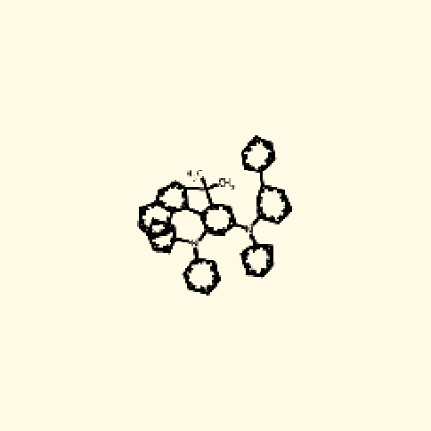 CC1(C)c2cc(N(c3ccccc3)c3cccc(-c4ccccc4)c3)cc(N(c3ccccc3)c3ccccc3)c2-c2c1ccc1ccccc21